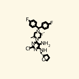 C[C@@H]1CN(c2nc(Cl)nc(NC[C@@H]3CCCO3)c2N)[C@@H](C)CN1C(c1ccc(F)cc1)c1ccc(F)cc1